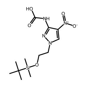 CC(C)(C)[Si](C)(C)OCCn1cc([N+](=O)[O-])c(NC(=O)O)n1